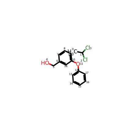 CC(Cl)Cl.OCc1cccc(Oc2ccccc2)c1